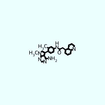 Cc1cc(NC(=O)Cc2cccc3ncccc23)ccc1-c1cn(C)c2ncnc(N)c12